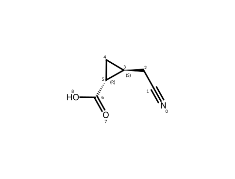 N#CC[C@@H]1C[C@H]1C(=O)O